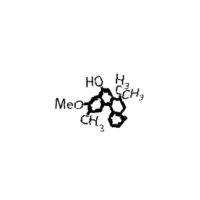 COc1cc2c(O)cc3c(c2cc1C)-c1ccccc1CC3(C)C